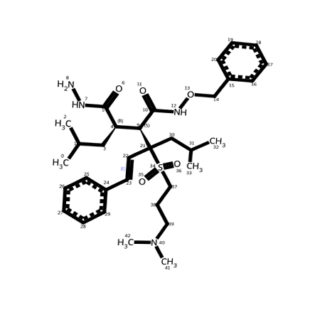 CC(C)C[C@@H](C(=O)NN)[C@@H](C(=O)NOCc1ccccc1)C(/C=C/c1ccccc1)(CC(C)C)S(=O)(=O)CCCN(C)C